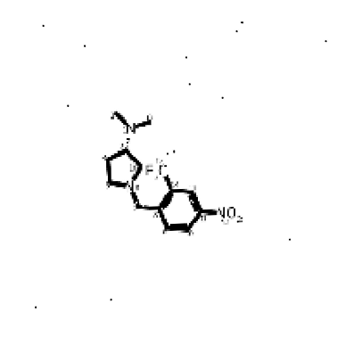 CN(C)[C@H]1CCN(Cc2ccc([N+](=O)[O-])cc2C(F)(F)F)C1